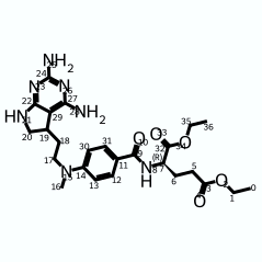 CCOC(=O)CC[C@@H](NC(=O)c1ccc(N(C)CCC2CNc3nc(N)nc(N)c32)cc1)C(=O)OCC